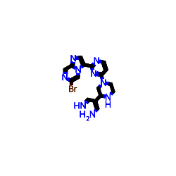 N=C/C(=C\N)C1CN(c2ccnc(-c3cnc4cnc(Br)cn34)n2)CCN1